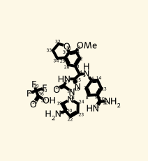 COc1cc(C(Nc2ccc(C(=N)N)cc2)c2nn(N3C=C(N)C=CC3)c(=O)[nH]2)cc2c1OCCC2.O=C(O)C(F)(F)F